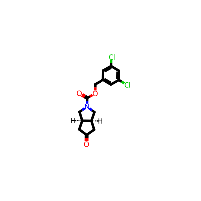 O=C1C[C@@H]2CN(C(=O)OCc3cc(Cl)cc(Cl)c3)C[C@@H]2C1